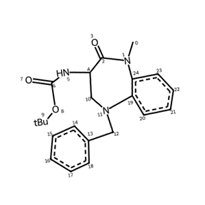 CN1C(=O)C(NC(=O)OC(C)(C)C)CN(Cc2ccccc2)c2ccccc21